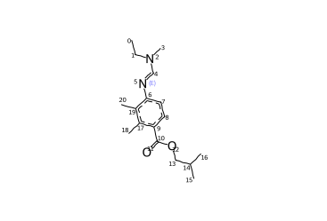 CCN(C)/C=N/c1ccc(C(=O)OCC(C)C)c(C)c1C